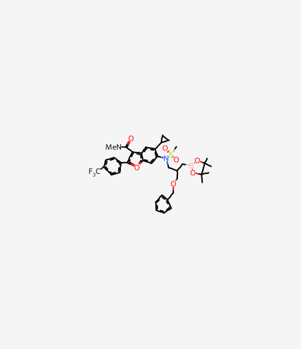 CNC(=O)c1c(-c2ccc(C(F)(F)F)cc2)oc2cc(N(CC(COCc3ccccc3)CB3OC(C)(C)C(C)(C)O3)S(C)(=O)=O)c(C3CC3)cc12